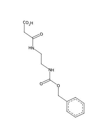 O=C(O)CC(=O)NCCNC(=O)OCc1ccccc1